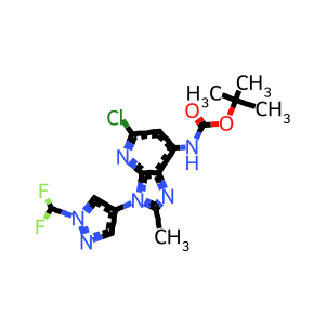 Cc1nc2c(NC(=O)OC(C)(C)C)cc(Cl)nc2n1-c1cnn(C(F)F)c1